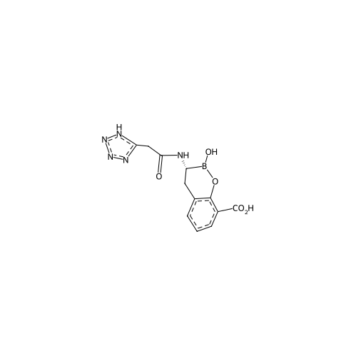 O=C(Cc1nnn[nH]1)N[C@H]1Cc2cccc(C(=O)O)c2OB1O